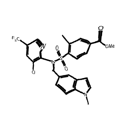 COC(=O)c1ccc(S(=O)(=O)N(Cc2ccc3c(ccn3C)c2)c2ncc(C(F)(F)F)cc2Cl)c(C)c1